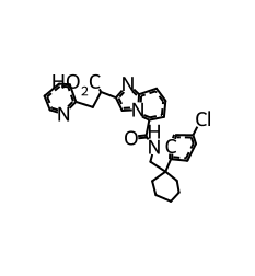 O=C(NCC1(c2ccc(Cl)cc2)CCCCC1)c1cccc2nc(C(Cc3ccccn3)C(=O)O)cn12